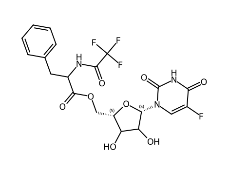 O=C(OC[C@@H]1O[C@H](n2cc(F)c(=O)[nH]c2=O)C(O)C1O)C(Cc1ccccc1)NC(=O)C(F)(F)F